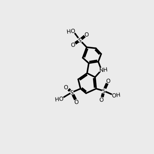 O=S(=O)(O)c1ccc2[nH]c3c(S(=O)(=O)O)cc(S(=O)(=O)O)cc3c2c1